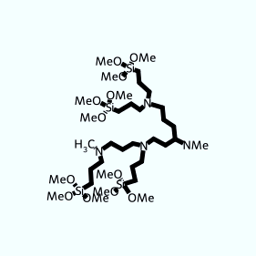 CNC(CCCN(CCC[Si](OC)(OC)OC)CCC[Si](OC)(OC)OC)CCN(CCCN(C)CCC[Si](OC)(OC)OC)CCC[Si](OC)(OC)OC